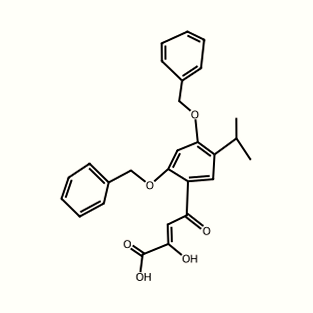 CC(C)c1cc(C(=O)/C=C(\O)C(=O)O)c(OCc2ccccc2)cc1OCc1ccccc1